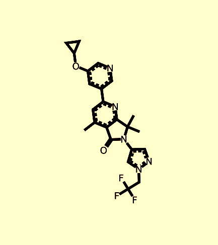 Cc1cc(-c2cncc(OC3CC3)c2)nc2c1C(=O)N(c1cnn(CC(F)(F)F)c1)C2(C)C